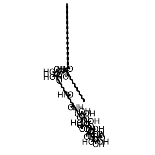 CC#CC#CC#CC#CC#CC#CC#CC#CC#CC#CC#CC#CC(=O)N[C@@H](COC1OC(COCCCCCCNC(=O)CCCCC(=O)NCCOC2OC(CO)C(OC3OC(C(=O)OC)C(O)C(OC4OC(CO)C(OC5OC(C(=O)OC)C(O)C(O)C5O)C(O)C4O)C3O)C(O)C2O)C(O)C(O)C1O)C[C@H](O)CCCCCCCCCCCCCC